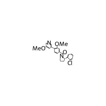 COc1cncc(-c2ccc(C(=O)N3CCC[C@@H]3c3ccccc3Cl)cc2OC)c1